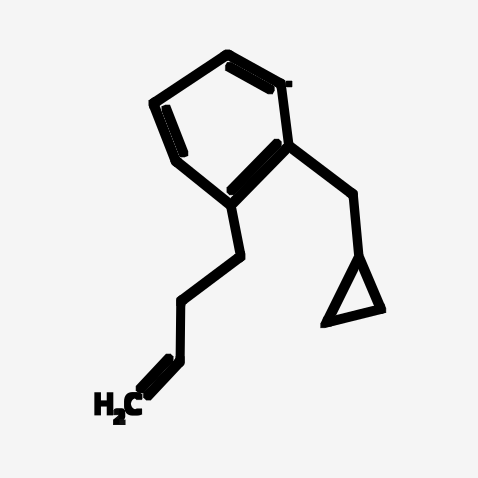 C=CCCc1ccc[c]c1CC1CC1